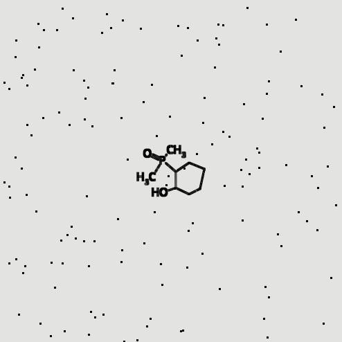 CP(C)(=O)C1CCCCC1O